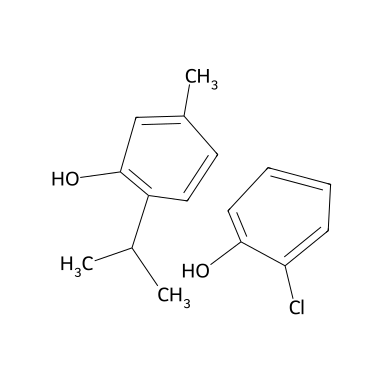 Cc1ccc(C(C)C)c(O)c1.Oc1ccccc1Cl